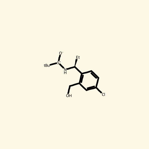 CC[C@H](N[S+]([O-])C(C)(C)C)c1ccc(Cl)cc1CO